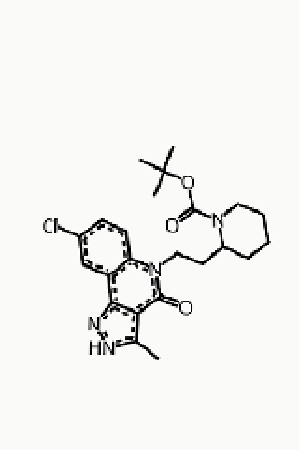 Cc1[nH]nc2c1c(=O)n(CCC1CCCCN1C(=O)OC(C)(C)C)c1ccc(Cl)cc21